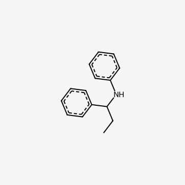 CCC(Nc1ccccc1)c1ccccc1